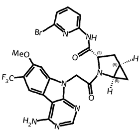 COc1cc2c(cc1C(F)(F)F)c1c(N)ncnc1n2CC(=O)N1[C@@H]2C[C@@H]2C[C@H]1C(=O)Nc1cccc(Br)n1